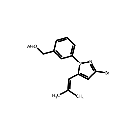 COCc1cccc(-n2nc(Br)cc2C=C(C)C)c1